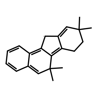 CC1(C)C=C2[CH]C3=c4ccccc4=CC(C)(C)C3=C2CC1